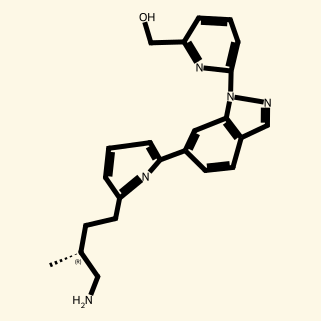 C[C@@H](CN)CCc1cccc(-c2ccc3cnn(-c4cccc(CO)n4)c3c2)n1